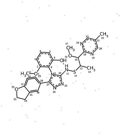 COc1cccc(O)c1-n1c(NSC(C)C(OC)c2ncc(C)cn2)nnc1C1=C=C=C2OCCC2=C1